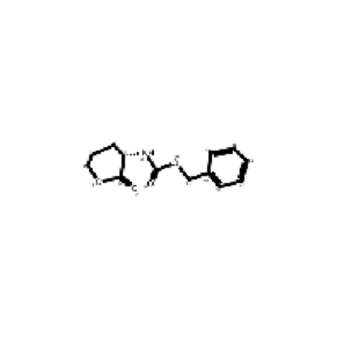 O=C(N[C@H]1CCCOC1=O)OCc1ccccc1